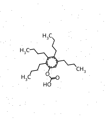 CCCCc1cc(OC(=O)O)c(CCCC)c(CCCC)c1CCCC